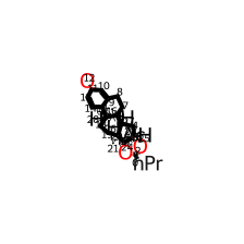 CCCC1O[C@H]2C[C@H]3[C@@H]4CCC5=CC(=O)C=C[C@]5(C)[C@H]4CC[C@]3(C)[C@]2(C(C)=O)O1